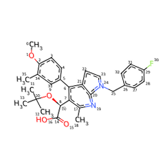 COc1ccc(-c2c([C@H](OC(C)(C)C)C(=O)O)c(C)nc3c2ccn3Cc2ccc(F)cc2)cc1C